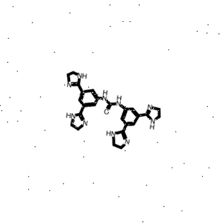 O=C(Nc1cc(C2=NCCN2)cc(C2=NCCN2)c1)Nc1cc(C2=NCCN2)cc(C2=NCCN2)c1